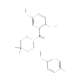 COc1ccc(OC)c(C(=O)N2CCC(F)(F)C[C@H]2CNc2ccc(Cl)cn2)c1